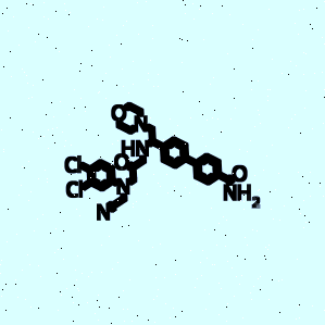 N#CCN(CC(=O)CNC(CN1CCOCC1)c1ccc(-c2ccc(C(N)=O)cc2)cc1)c1ccc(Cl)c(Cl)c1